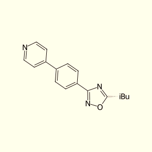 CC[C@@H](C)c1nc(-c2ccc(-c3ccncc3)cc2)no1